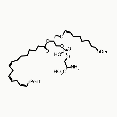 CCCCC/C=C\C/C=C\C/C=C\CCCCCCC(=O)O[C@H](CO/C=C\CCCCCCCCCCCCCCCC)COP(=O)(O)OC[C@H](N)C(=O)O